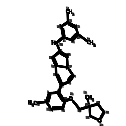 Cc1cc(-c2ccn3nc(Nc4cc(C)nc(C)n4)cc3c2)c(OC[C@@]2(C)CCOC2)cn1